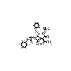 CC(O)=C(C(=O)OCC(Cl)(Cl)Cl)N1C(=O)C(NC(=O)Cc2ccccc2)C1SSc1nccs1